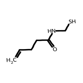 C=CCCC(=O)NCS